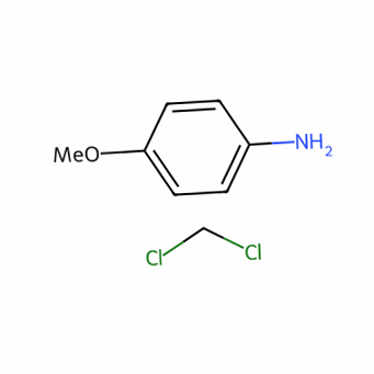 COc1ccc(N)cc1.ClCCl